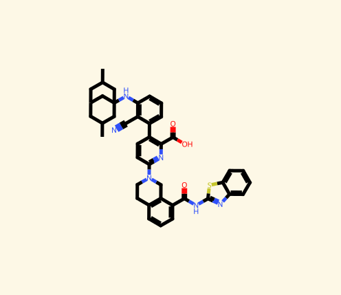 CC1CC2CC(C)CC(Nc3cccc(-c4ccc(N5CCc6cccc(C(=O)Nc7nc8ccccc8s7)c6C5)nc4C(=O)O)c3C#N)(C1)C2